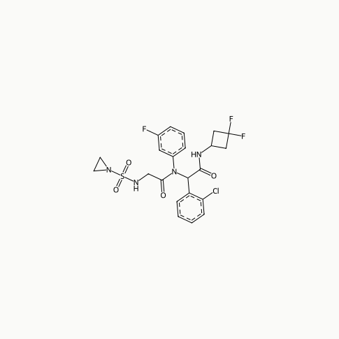 O=C(NC1CC(F)(F)C1)C(c1ccccc1Cl)N(C(=O)CNS(=O)(=O)N1CC1)c1cccc(F)c1